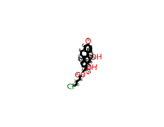 C[C@]12C=CC(=O)C=C1CC[C@@H]1[C@@H]2C(O)C[C@@]2(C)[C@H]1CC[C@]2(O)C(=O)COC(=O)CCCCl